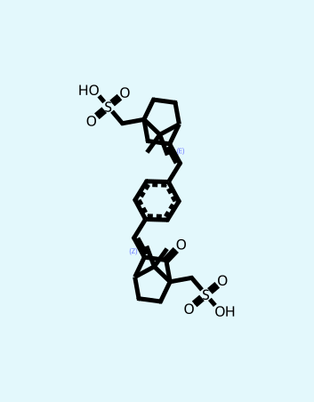 CC1(C)C2CCC1(CS(=O)(=O)O)C/C2=C\c1ccc(/C=C2\C(=O)C3(CS(=O)(=O)O)CCC2C3(C)C)cc1